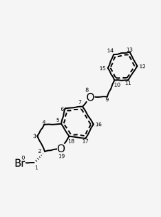 BrC[C@@H]1CCc2cc(OCc3ccccc3)ccc2O1